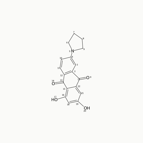 O=C1c2cc(N3CCCC3)ccc2C(=O)c2c(O)cc(O)cc21